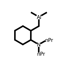 CCCN(CCC)C1CCCCC1[CH2][Al]([CH3])[CH3]